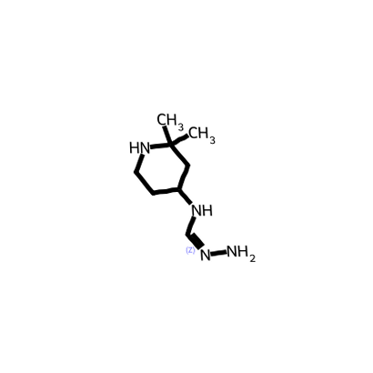 CC1(C)CC(N/C=N\N)CCN1